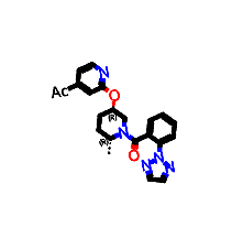 CC(=O)c1ccnc(O[C@@H]2CC[C@@H](C)N(C(=O)c3ccccc3-n3nccn3)C2)c1